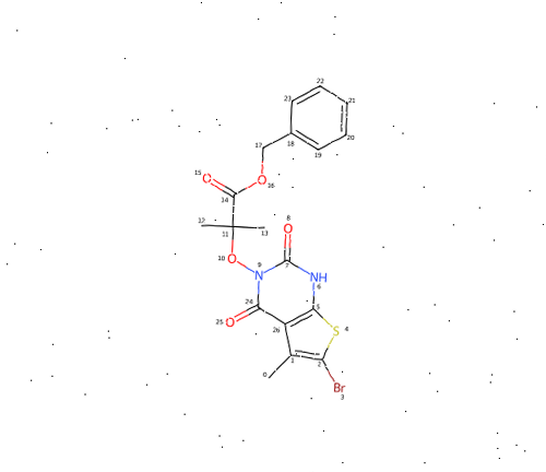 Cc1c(Br)sc2[nH]c(=O)n(OC(C)(C)C(=O)OCc3ccccc3)c(=O)c12